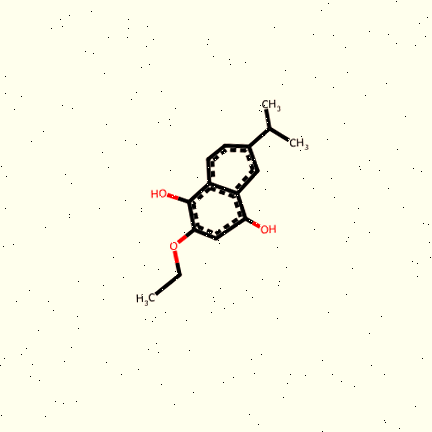 CCOc1cc(O)c2cc(C(C)C)ccc2c1O